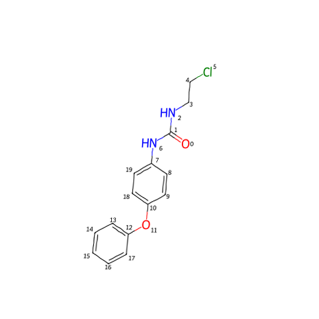 O=C(NCCCl)Nc1ccc(Oc2ccccc2)cc1